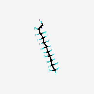 F/[C]=C(\F)C(F)(F)C(F)(F)C(F)(F)C(F)(F)C(F)(F)C(F)(F)C(F)(F)C(F)(F)C(F)(F)F